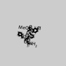 COC(=O)[C@@]1(Cc2cccc(Cl)c2)COC(C2CCCN2C(=O)[C@@H](OC(=O)[C@H](C)N)C(C)OCc2ccccc2)=N1